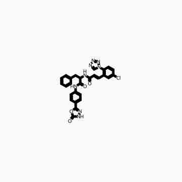 O=C(C=Cc1cc(Cl)ccc1-n1cnnn1)NC(Cc1ccccc1)C(=O)Nc1ccc(-c2n[nH]c(=O)o2)cc1